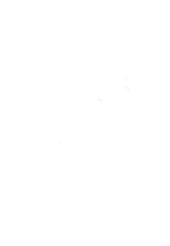 COc1c(-c2ccc(N3CC(C)OC(C)C3)cc2)cnc2c(-c3cnn(C)c3)cccc12